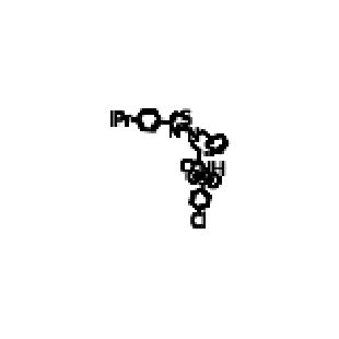 CC(C)c1ccc(-c2csc(N(CCC(=O)NS(=O)(=O)c3ccc(Cl)cc3)Cc3cccs3)n2)cc1